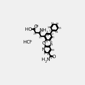 Cl.NC(=O)c1cnc(Oc2ccc(-c3ccccc3)cc2CC(N)CC(=O)O)c(F)c1